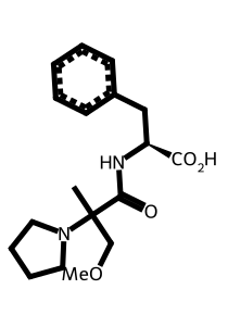 COCC(C)(C(=O)N[C@@H](Cc1ccccc1)C(=O)O)N1CCCC1